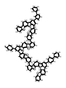 Cc1ccc(-c2cc3c4ccc5c6cc(-c7cccc8oc9c(ccc%10c%11cc(-c%12ccc(-c%13ccccc%13)cc%12)cc%12c%13ccc%14c%15ccccc%15oc%14c%13n(c%12%11)c%109)c78)ccc6oc5c4n4c3c(c2)c2ccc3c(oc5cccc(-c6ccc7oc8c(ccc9c%10cc(-c%11cccc(-c%12ccccc%12)c%11)cc%11c%12ccc%13c%14ccccc%14oc%13c%12n(c%11%10)c98)c7c6)c53)c24)cc1